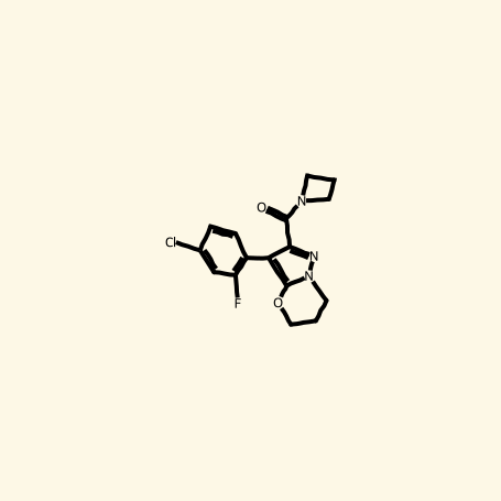 O=C(c1nn2c(c1-c1ccc(Cl)cc1F)OCCC2)N1CCC1